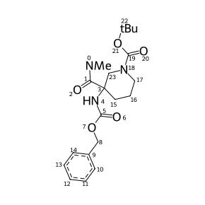 CNC(=O)C1(NC(=O)OCc2ccccc2)CCCN(C(=O)OC(C)(C)C)C1